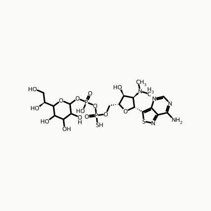 CN(C)[C@@H]1[C@H](O)[C@@H](COP(=O)(S)OP(=O)(O)OC2OC([C@@H](O)CO)C(O)C(O)C2O)O[C@H]1c1snc2c(N)ncnc12